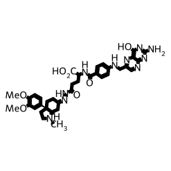 COc1ccc([C@@]23CCC(=NNC(=O)CCC(NC(=O)c4ccc(NCc5cnc6nc(N)nc(O)c6n5)cc4)C(=O)O)C[C@@H]2N(C)CC3)cc1OC